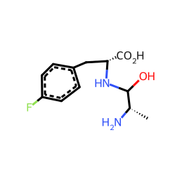 C[C@H](N)C(O)N[C@H](Cc1ccc(F)cc1)C(=O)O